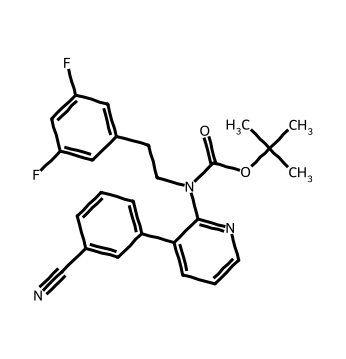 CC(C)(C)OC(=O)N(CCc1cc(F)cc(F)c1)c1ncccc1-c1cccc(C#N)c1